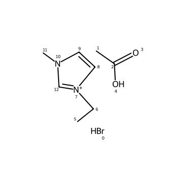 Br.CC(=O)O.CC[n+]1ccn(C)c1